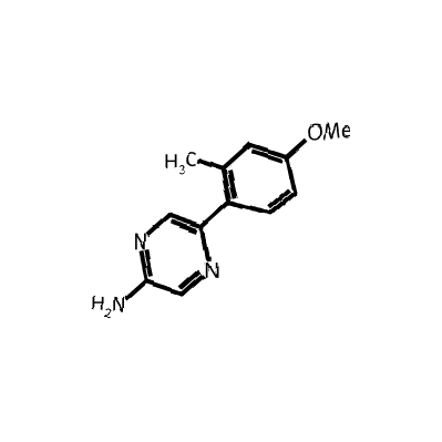 COc1ccc(-c2cnc(N)cn2)c(C)c1